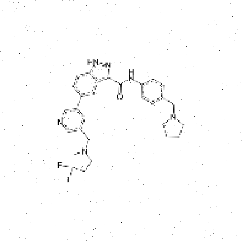 O=C(Nc1ccc(CN2CCCC2)cc1)c1n[nH]c2ccc(-c3cncc(CN4CCC(F)(F)C4)c3)cc12